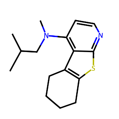 CC(C)CN(C)c1ccnc2sc3c(c12)CCCC3